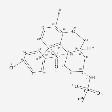 CCCS(=O)(=O)N[C@@H]1CC[C@@]2(S(=O)(=O)c3ccc(Cl)cc3)c3c(F)ccc(F)c3OC[C@H]2C1